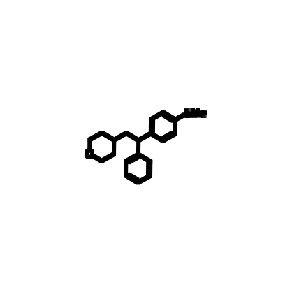 CSc1ccc(C(CC2CCOCC2)c2ccccc2)cc1